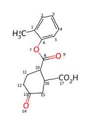 Cc1ccccc1OC(=O)C1CCC(=O)CC1C(=O)O